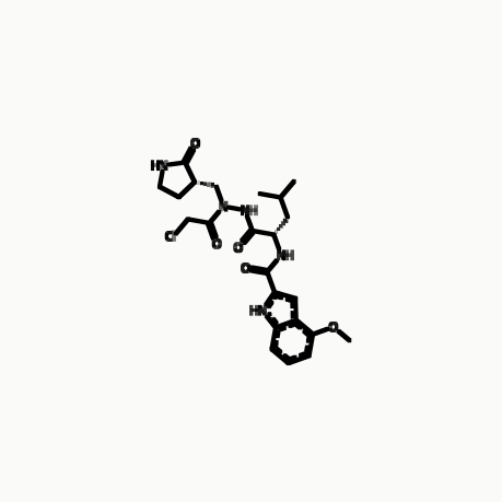 COc1cccc2[nH]c(C(=O)N[C@@H](CC(C)C)C(=O)NN(C[C@@H]3CCNC3=O)C(=O)CCl)cc12